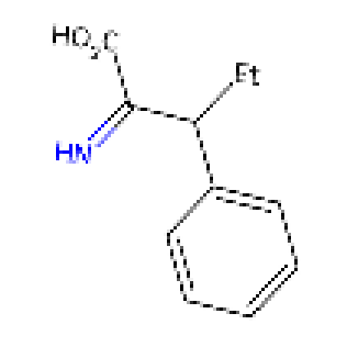 CCC(C(=N)C(=O)O)c1ccccc1